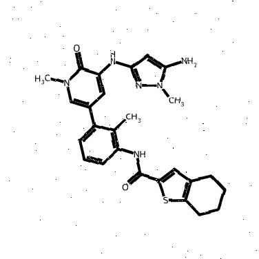 Cc1c(NC(=O)c2cc3c(s2)CCCC3)cccc1-c1cc(Nc2cc(N)n(C)n2)c(=O)n(C)c1